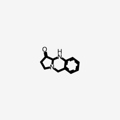 O=C1CCN2Cc3ccccc3NC12